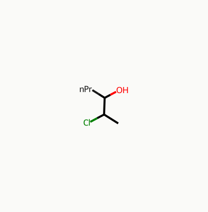 CCCC(O)C(C)Cl